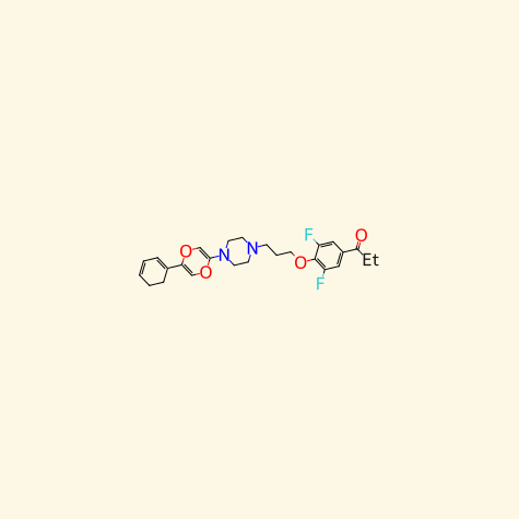 CCC(=O)c1cc(F)c(OCCCN2CCN(C3=COC(C4=CC=CCC4)=CO3)CC2)c(F)c1